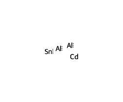 [Al].[Al].[Cd].[Sn]